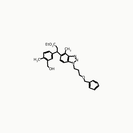 CCOC(=O)CC(c1ccc(C)c(CO)c1)c1ccc2c(nnn2CCCOCc2ccccc2)c1C